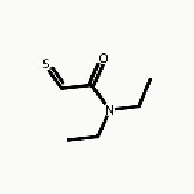 CCN(CC)C(=O)C=S